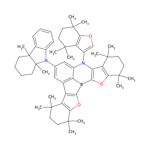 CC1(C)CCC(C)(C)c2c(N3c4cc(N5c6ccccc6C6(C)CCCCC56C)cc5c4B(c4oc6c(c4-5)C(C)(C)CCC6(C)C)c4oc5c(c43)C(C)(C)CCC5(C)C)coc21